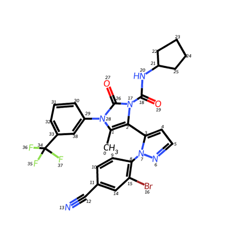 Cc1c(-c2ccnn2-c2ccc(C#N)cc2Br)n(C(=O)NC2CCCC2)c(=O)n1-c1cccc(C(F)(F)F)c1